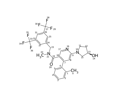 Cc1ccccc1-c1cc(N2CC[C@@H](O)C2)ncc1C(=O)N(C)Cc1cc(C(F)(F)F)cc(C(F)(F)F)c1